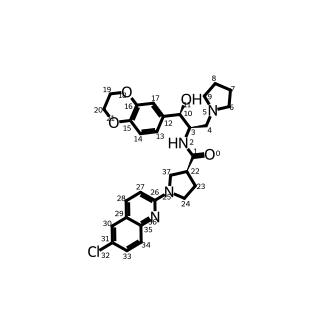 O=C(N[C@H](CN1CCCC1)[C@H](O)c1ccc2c(c1)OCCO2)[C@H]1CCN(c2ccc3cc(Cl)ccc3n2)C1